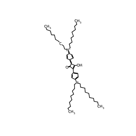 CCCCCCCCCCN(CCCCCCCCCC)c1ccc(C2=C(O)C(=C3C=CC(=[N+](CCCCCCCCCC)CCCCCCCCCC)C=C3)C2=O)cc1